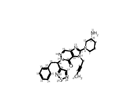 CC#CCn1c(N2CCC[C@@H](N)C2)nc2cnn(C(Cc3ccccc3)c3cnsn3)c(=O)c21